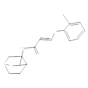 Cc1ccccc1S/C=C/C(=O)NC1CN2CCC1CC2